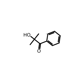 CC(C)(O)C(=O)c1[c]cccc1